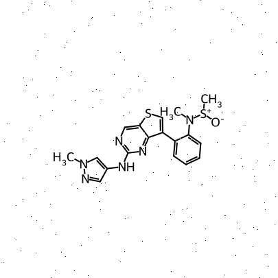 CN(c1ccccc1-c1csc2cnc(Nc3cnn(C)c3)nc12)[S+](C)[O-]